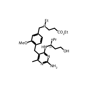 CCC[C@@H](CCO)Nc1nc(N)nc(C)c1Cc1ccc(CN(CC)CCC(=O)OCC)cc1OC